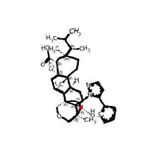 CC(C)[C@@H](C)[C@@]1(C)CC[C@]2(C)[C@H]3CC[C@@H]4[C@@]5(COC[C@]4(C)[C@@H](O)[C@H](n4nccc4-c4cccs4)C5)C3=CC[C@@]2(C)[C@@H]1C(=O)O